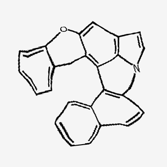 c1ccc2c(c1)ccc1c2c2c3c(cc4ccn1c42)oc1ccccc13